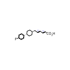 O=C(O)/C=C/C=C/C[C@H]1CC[C@H](c2ccc(F)cc2)CC1